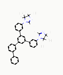 CC1=NC(C)(C)C(C)(C)N1c1cccc(-c2cc(-c3cccc(-c4ccccc4)c3)cc(-c3cccc(N4C(C)=NC(C)(C)C4(C)C)c3)c2)c1